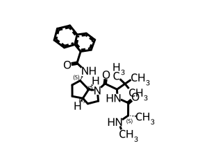 CN[C@@H](C)C(=O)NC(C(=O)N1CC[C@H]2CC[C@H](NC(=O)c3cccc4ccccc34)[C@H]21)C(C)(C)C